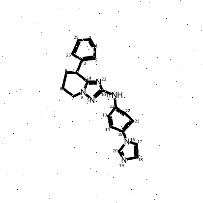 c1ccc(C2CCCn3nc(Nc4ccc(-n5ccnc5)cc4)nc32)cc1